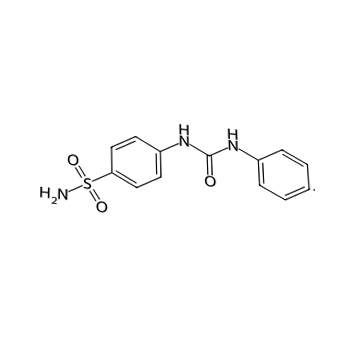 NS(=O)(=O)c1ccc(NC(=O)Nc2cc[c]cc2)cc1